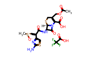 CC(=O)OCC1=C(C(=O)O)N2C(=O)C(NC(=O)/C(=C/[S+](C)[O-])c3csc(N)n3)[C@H]2SC1.O=C(O)C(F)(F)F